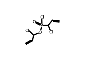 C=CC(Cl)OP(=O)(Cl)C(Cl)C=C